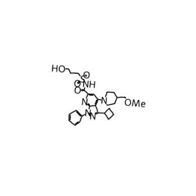 COCC1CCN(c2cc(C(=O)NS(=O)(=O)CCCO)nc3c2c(C2CCC2)nn3-c2ccccc2)CC1